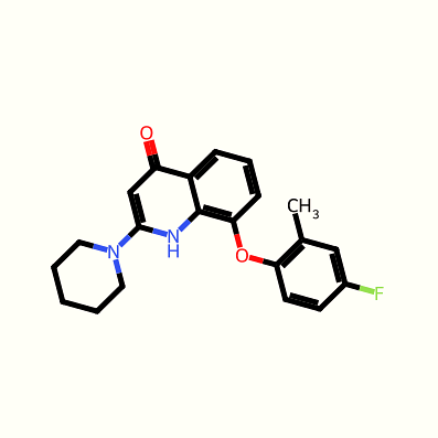 Cc1cc(F)ccc1Oc1cccc2c(=O)cc(N3CCCCC3)[nH]c12